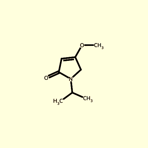 COC1=CC(=O)N(C(C)C)C1